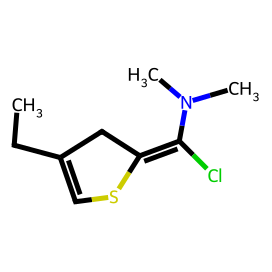 CCC1=CS/C(=C(\Cl)N(C)C)C1